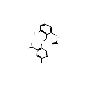 CCc1cccc(NC(=S)OC)c1COc1ccc(C)cc1C(F)F